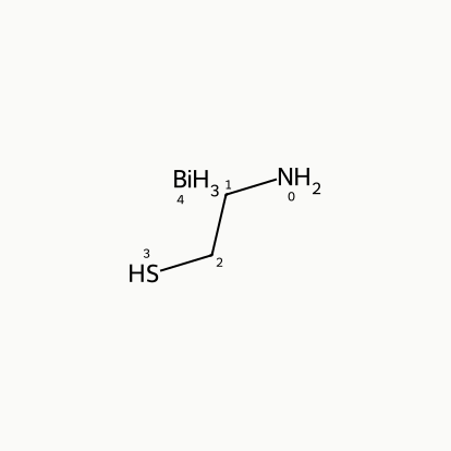 NCCS.[BiH3]